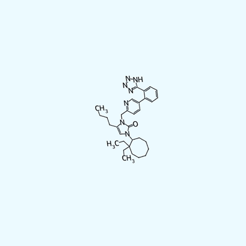 CCCCc1cn(C2CCCCCCC2(CC)CC)c(=O)n1Cc1ccc(-c2ccccc2-c2nnn[nH]2)cn1